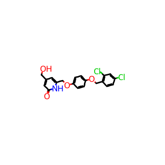 O=c1cc(CO)cc(COc2ccc(OCc3ccc(Cl)cc3Cl)cc2)[nH]1